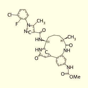 COC(=O)Nc1ccc2c(c1)NC(=O)[C@H](C)CCC[C@H](NC(=O)c1cnn(-c3cccc(Cl)c3F)c1C)c1cc-2cc(=O)[nH]1